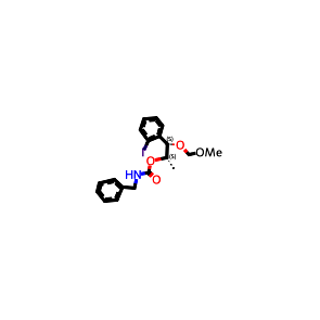 COCO[C@@H](c1ccccc1I)[C@H](C)OC(=O)NCc1ccccc1